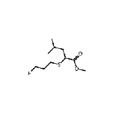 COC(=O)C(CC(C)C)SCCCF